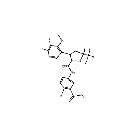 COc1c(C2CC(C)(C(F)(F)F)SC2C(=O)Nc2ccc(F)c(C(N)=O)c2)ccc(F)c1F